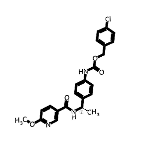 COc1ccc(C(=O)N[C@@H](C)c2ccc(NC(=O)OCc3ccc(Cl)cc3)cc2)cn1